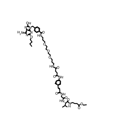 CCCCOc1nc(N)c2nc(O)n(Cc3ccc(C(=O)NCCCOCCOCCOCCCNC(=O)CCC(=O)Nc4ccc(/C=C/C(=O)NCC(=O)N[C@H](C(=O)NCCCC(=O)OCC)C(C)C)cc4)cc3)c2n1